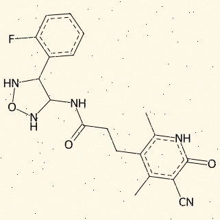 Cc1[nH]c(=O)c(C#N)c(C)c1CCC(=O)NC1NONC1c1ccccc1F